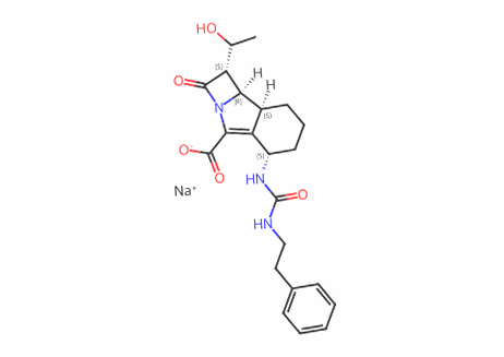 CC(O)[C@H]1C(=O)N2C(C(=O)[O-])=C3[C@@H](NC(=O)NCCc4ccccc4)CCC[C@@H]3[C@H]12.[Na+]